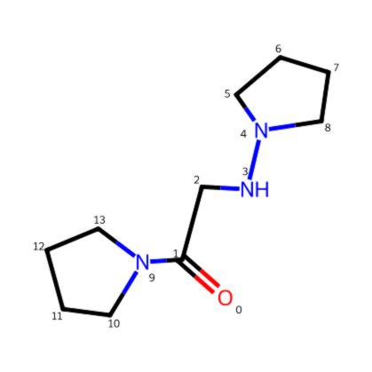 O=C(CNN1CCCC1)N1CCCC1